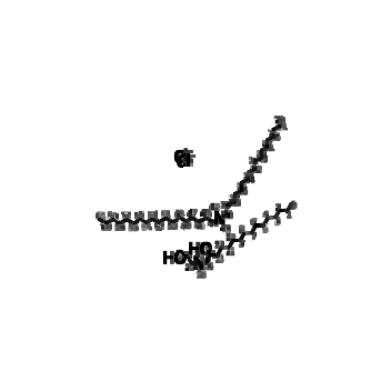 CCCCCCCCCCCCCCC(O)C[N+](C)(C)CCO.CCCCCCCCCCCCCCCCCC[N+](C)(C)CCCCCCCCCCCCCCCCCC.[Cl-].[Cl-]